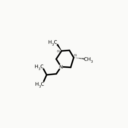 CC(C)CN1C[C@@H](C)C[C@H](C)C1